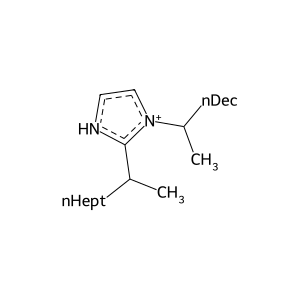 CCCCCCCCCCC(C)[n+]1cc[nH]c1C(C)CCCCCCC